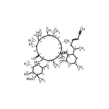 C#C/C=C/CN(C)[C@H]1C[C@@H](C)O[C@@H](O[C@@H]2[C@@H](C)[C@H](O[C@H]3C[C@@](C)(OC)[C@@H](O)[C@H](C)O3)[C@@H](C)C(=O)O[C@H](CC)[C@@](C)(O)[C@H](O)[C@@H](C)N(C)C[C@H](C)C[C@@]2(C)O)[C@@H]1O